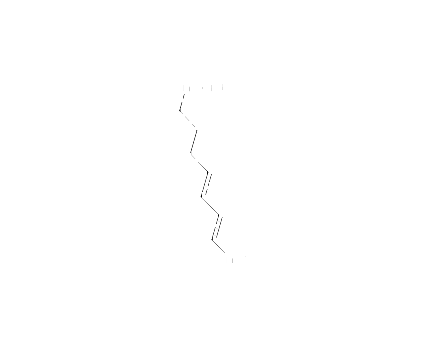 CCCC=CC=CCCCCCCCC